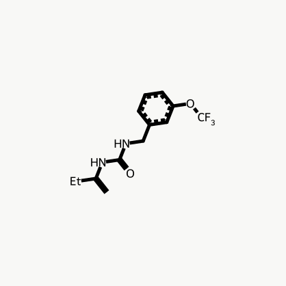 C=C(CC)NC(=O)NCc1cccc(OC(F)(F)F)c1